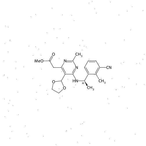 COC(=O)Cc1nc(C)nc(N[C@H](C)c2cccc(C#N)c2C)c1C1OCCO1